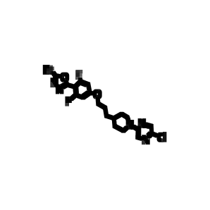 CCc1nnc(-c2c(F)cc(OCCCC3CCN(c4cnc(Cl)cn4)CC3)cc2F)o1